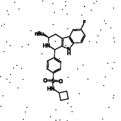 CCCC[C@H]1Cc2c([nH]c3ccc(F)cc23)C(c2ccc(S(=O)(=O)NC3CCC3)cc2)N1